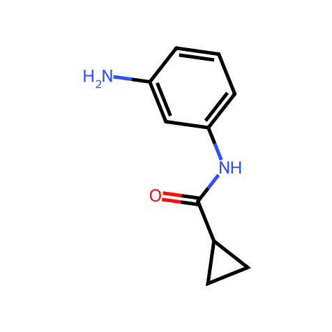 Nc1cccc(NC(=O)C2CC2)c1